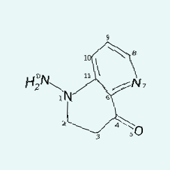 NN1CCC(=O)c2ncccc21